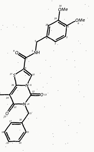 COc1ccc(CNC(=O)c2cn3c(=O)n(Cc4ccccc4)c(=O)c(C)c3s2)cc1OC